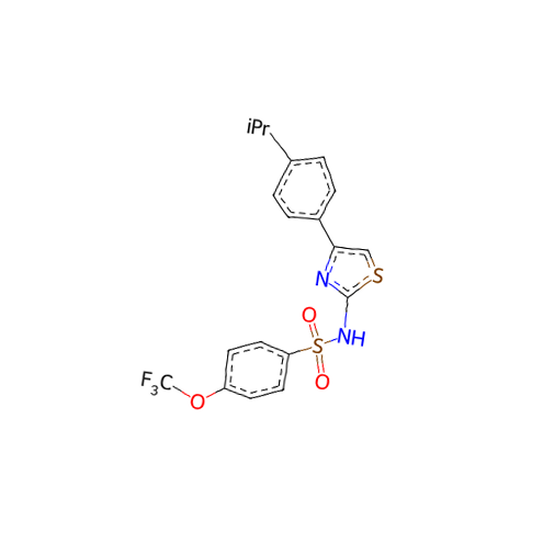 CC(C)c1ccc(-c2csc(NS(=O)(=O)c3ccc(OC(F)(F)F)cc3)n2)cc1